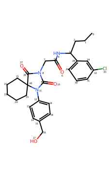 CCCC(NC(=O)CN1C(=O)N(c2ccc(CO)cc2)C2(CCCCC2)C1=O)c1cccc(Cl)c1